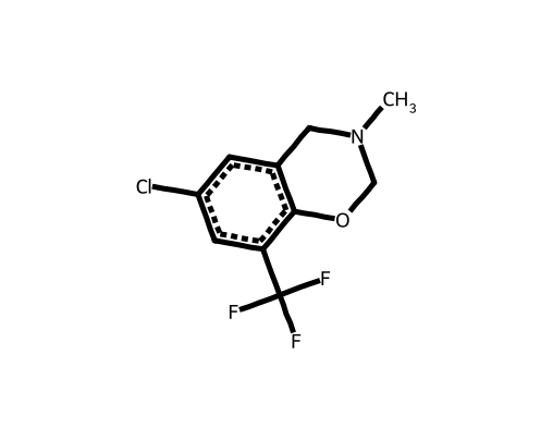 CN1COc2c(cc(Cl)cc2C(F)(F)F)C1